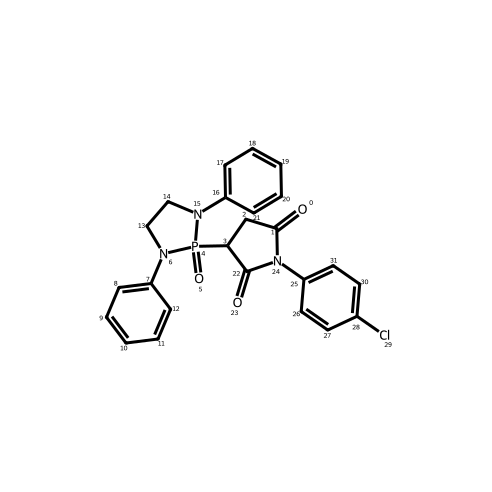 O=C1CC(P2(=O)N(c3ccccc3)CCN2c2ccccc2)C(=O)N1c1ccc(Cl)cc1